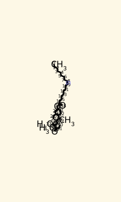 CCCCCCCC/C=C\CCCCCCCC(=O)Oc1ccc2c(c1)CC[C@@H]([C@@H]1CCC(=O)[C@@]1(C)CC)[C@@H]2C